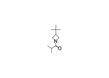 CC(C)C(=O)N1CC(C(C)(C)C)C1